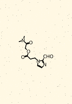 CN(C)C(=O)COC(=O)CCn1ccnc1C=O